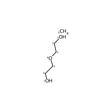 C.OCCOCCO